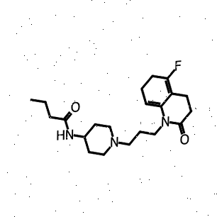 CCCC(=O)NC1CCN(CCCN2C(=O)CCC3=C(F)CCC=C32)CC1